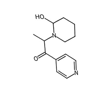 CC(C(=O)c1ccncc1)N1CCCCC1O